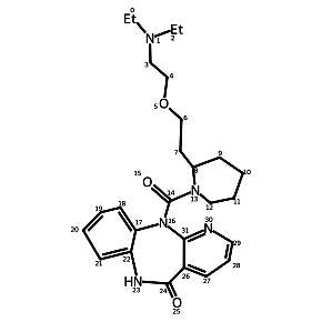 CCN(CC)CCOCCC1CCCCN1C(=O)N1c2ccccc2NC(=O)c2cccnc21